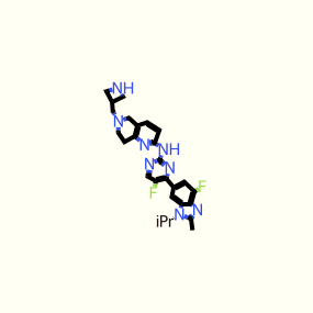 Cc1nc2c(F)cc(-c3nc(Nc4ccc5c(n4)CCN(CC4CNC4)C5)ncc3F)cc2n1C(C)C